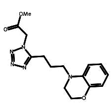 COC(=O)Cn1nnnc1CCCN1CCOc2ccccc21